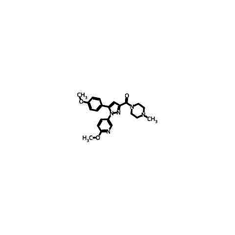 COc1ccc(-c2cc(C(=O)N3CCN(C)CC3)nn2-c2ccc(OC)nc2)cc1